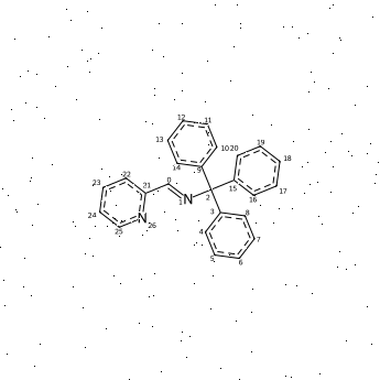 C(=N\C(c1ccccc1)(c1ccccc1)c1ccccc1)/c1ccccn1